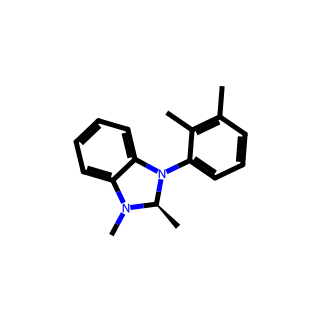 Cc1cccc(N2c3ccccc3N(C)[C@@H]2C)c1C